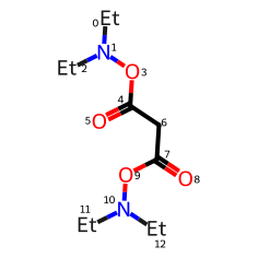 CCN(CC)OC(=O)CC(=O)ON(CC)CC